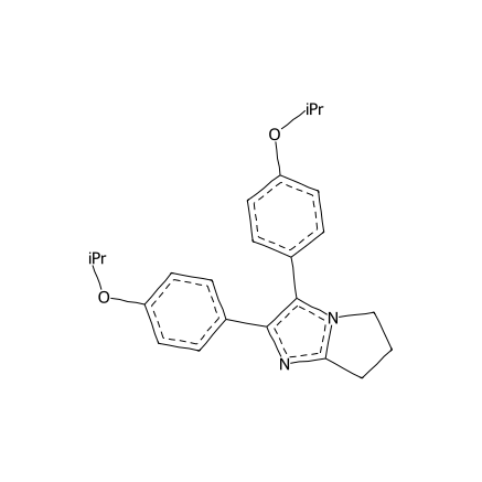 CC(C)Oc1ccc(-c2nc3n(c2-c2ccc(OC(C)C)cc2)CCC3)cc1